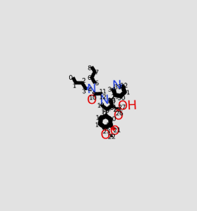 CCCCN(CCCC)C(=O)CN1C[C@H](c2ccc3c(c2)OCO3)[C@H](C(=O)O)[C@H]1c1cccnc1